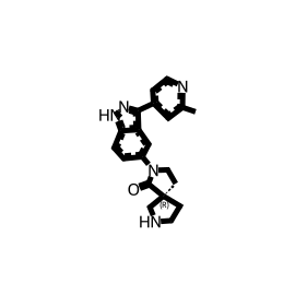 Cc1cc(-c2n[nH]c3ccc(N4CC[C@@]5(CCNC5)C4=O)cc23)ccn1